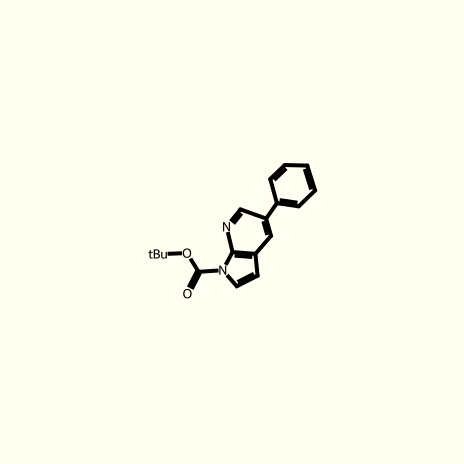 CC(C)(C)OC(=O)n1ccc2cc(-c3ccccc3)cnc21